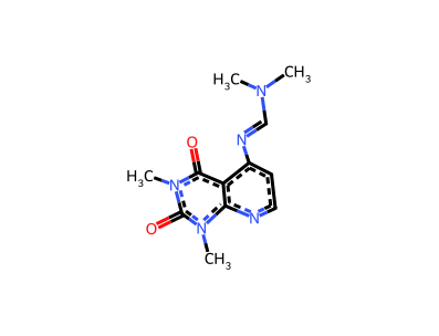 CN(C)C=Nc1ccnc2c1c(=O)n(C)c(=O)n2C